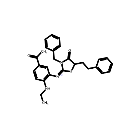 CCNc1ccc(C(C)=O)cc1/N=C1/SC(CCc2ccccc2)C(=O)N1Cc1ccccc1